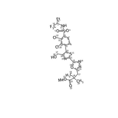 CCC(NS(=O)(=O)c1ccc(-c2sc(-c3nnc(CC(C)(C)C(=O)OC)o3)nc2CO)c(Cl)c1Cl)C(F)(F)F